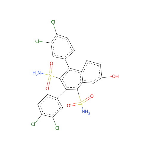 NS(=O)(=O)c1c(-c2ccc(Cl)c(Cl)c2)c(S(N)(=O)=O)c2cc(O)ccc2c1-c1ccc(Cl)c(Cl)c1